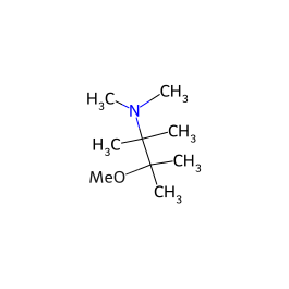 COC(C)(C)C(C)(C)N(C)C